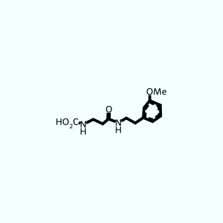 COc1cccc(CCNC(=O)CCNC(=O)O)c1